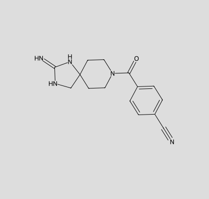 N#Cc1ccc(C(=O)N2CCC3(CC2)CNC(=N)N3)cc1